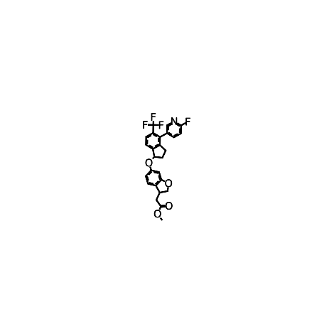 COC(=O)CC1COc2cc(O[C@@H]3CCc4c3ccc(C(F)(F)F)c4-c3ccc(F)nc3)ccc21